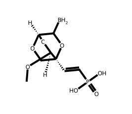 BC1O[C@@]2(/C=C/P(=O)(O)O)CO[C@@H]1C[C@@H]2OC